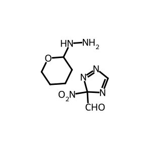 NNC1CCCCO1.O=CC1([N+](=O)[O-])N=CN=N1